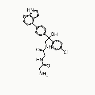 NCC(=O)NCC(=O)NCC(O)(c1ccc(Cl)cc1)c1ccc(-c2ccnc3[nH]ccc23)cc1